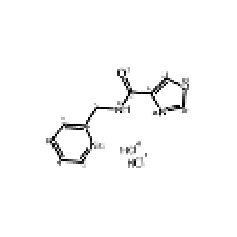 Cl.Cl.O=C(NCc1ccccn1)c1cocn1